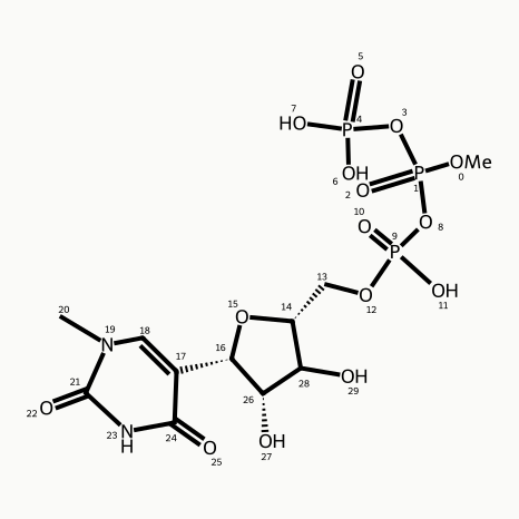 COP(=O)(OP(=O)(O)O)OP(=O)(O)OC[C@H]1O[C@@H](c2cn(C)c(=O)[nH]c2=O)[C@@H](O)C1O